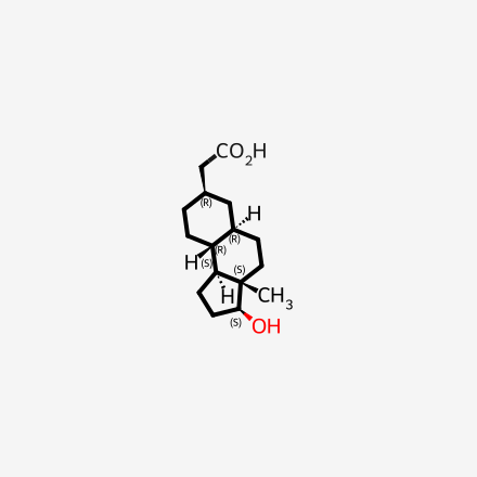 C[C@]12CC[C@@H]3C[C@H](CC(=O)O)CC[C@H]3[C@@H]1CC[C@@H]2O